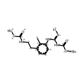 CC/N=C(/NC(=O)OC(C)(C)C)Nc1cccc(CCNC(=O)OC(C)(C)C)c1C